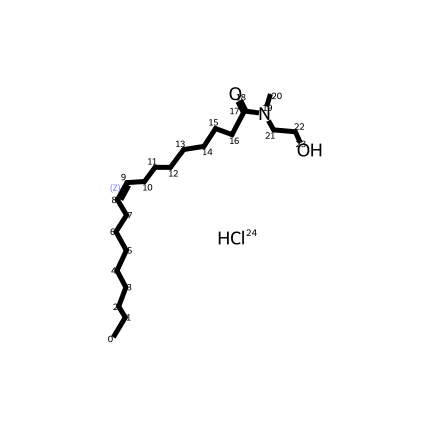 CCCCCCCC/C=C\CCCCCCCC(=O)N(C)CCO.Cl